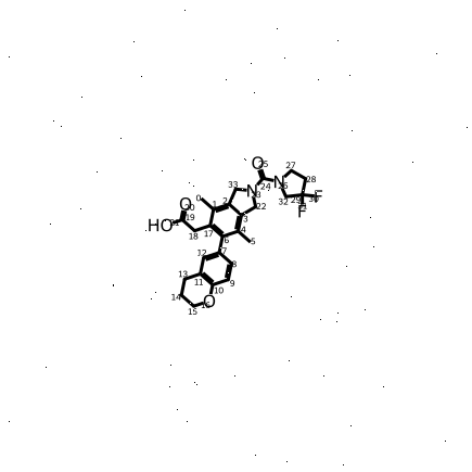 Cc1c2c(c(C)c(-c3ccc4c(c3)CCCO4)c1CC(=O)O)CN(C(=O)N1CCC(F)(F)C1)C2